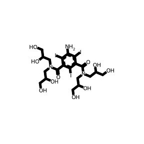 Nc1c(I)c(C(=O)N(CC(O)CO)CC(O)CO)c(I)c(C(=O)N(CC(O)CO)CC(O)CO)c1I